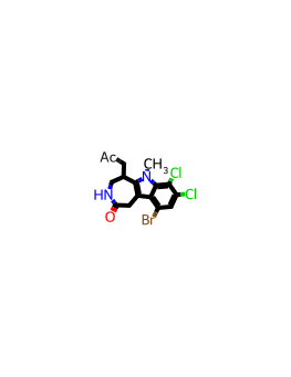 CC(=O)CC1CNC(=O)Cc2c1n(C)c1c(Cl)c(Cl)cc(Br)c21